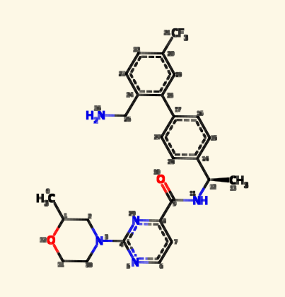 CC1CN(c2nccc(C(=O)N[C@H](C)c3ccc(-c4cc(C(F)(F)F)ccc4CN)cc3)n2)CCO1